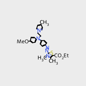 CCOC(=O)c1sc(/N=N/c2ccc(N(CC[n+]3ccc(C)cc3)c3ccc(OC)cc3)cc2)[n+](C)c1C